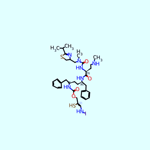 CNCC[C@H](NC(=O)N(C)CC1CSC(C(C)C)=N1)C(=O)N[C@H](CC[C@H](Cc1ccccc1)NC(=O)OC/C(S)=C/NI)Cc1ccccc1